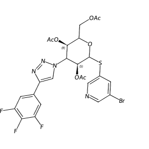 CC(=O)OCC1OC(Sc2cncc(Br)c2)[C@@H](OC(C)=O)C(n2cc(-c3cc(F)c(F)c(F)c3)nn2)[C@H]1OC(C)=O